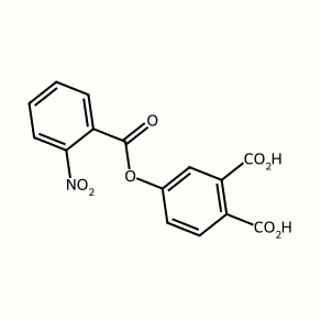 O=C(O)c1ccc(OC(=O)c2ccccc2[N+](=O)[O-])cc1C(=O)O